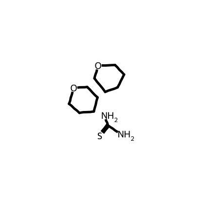 C1CCOCC1.C1CCOCC1.NC(N)=S